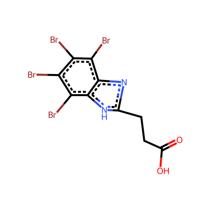 O=C(O)CCc1nc2c(Br)c(Br)c(Br)c(Br)c2[nH]1